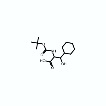 CC(C)(C)OC(=O)NC(C(=O)O)C(O)C1CCCCC1